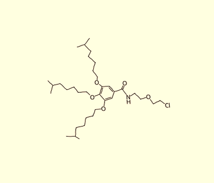 CC(C)CCCCCOc1cc(C(=O)NCCOCCCl)cc(OCCCCCC(C)C)c1OCCCCCC(C)C